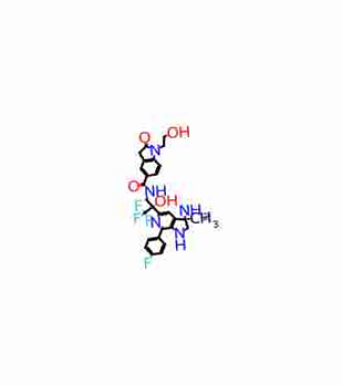 C[C@@]1(N)CNc2c1cc([C@](O)(CNC(=O)c1ccc3c(c1)CC(=O)N3CCO)C(F)(F)F)nc2-c1ccc(F)cc1